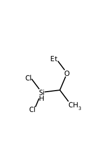 CCOC(C)[SiH](Cl)Cl